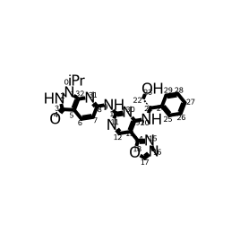 CC(C)n1[nH]c(=O)c2ccc(Nc3ncc(-c4nnco4)c(N[C@H](CO)c4ccccc4)n3)nc21